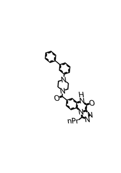 CCCc1nnc2c(=O)[nH]c3cc(C(=O)N4CCN(c5cccc(-c6ccccc6)c5)CC4)ccc3n12